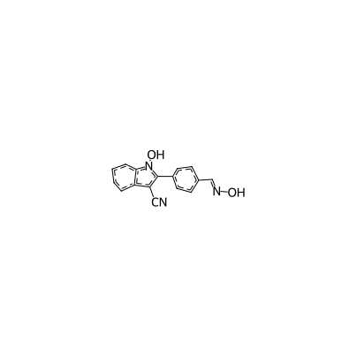 N#Cc1c(-c2ccc(C=NO)cc2)n(O)c2ccccc12